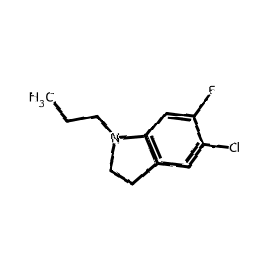 CCCN1CCc2cc(Cl)c(F)cc21